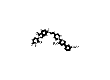 COc1cccc(-c2cnc(N3CCC(CCNc4ccc5c(c4)CN(C4CCC(=O)NC4=O)C5=O)CC3)c(C(F)(F)F)c2)c1